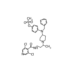 CC(CCNC(=O)c1c(Cl)cncc1Cl)N1CCC(N(Cc2ccccc2)c2ccc(OS(C)(=O)=O)cc2)CC1